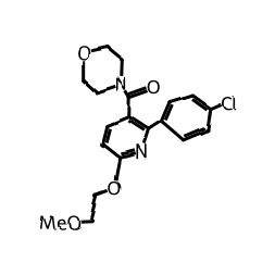 COCCOc1ccc(C(=O)N2CCOCC2)c(-c2ccc(Cl)cc2)n1